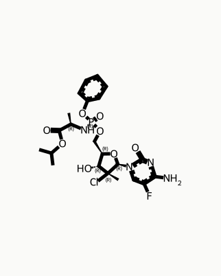 CC(C)OC(=O)[C@@H](C)N[P@@](=O)(OC[C@H]1O[C@@H](n2cc(F)c(N)nc2=O)[C@](C)(Cl)[C@@H]1O)Oc1ccccc1